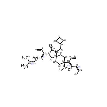 C=C/C(=C\N/C=C(/N)C(F)(F)F)N1C[C@]2(CC[C@](/C(C=C)=C/C=C\C)(N(C)C)CC2)N(CC2CCC2)C1=O